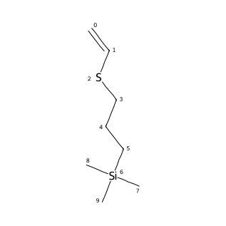 C=CSCCC[Si](C)(C)C